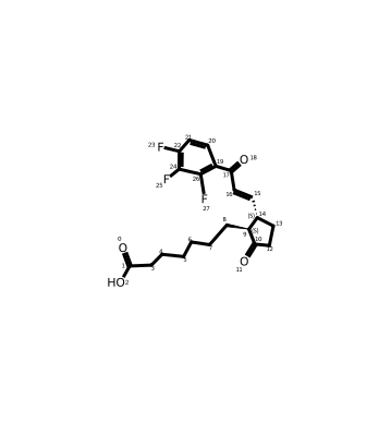 O=C(O)CCCCCC[C@@H]1C(=O)CC[C@H]1C=CC(=O)c1ccc(F)c(F)c1F